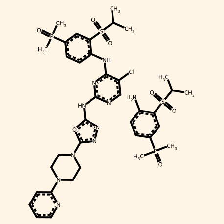 CC(C)S(=O)(=O)c1cc(P(C)(C)=O)ccc1N.CC(C)S(=O)(=O)c1cc(P(C)(C)=O)ccc1Nc1nc(Nc2nnc(N3CCN(c4ccccn4)CC3)o2)ncc1Cl